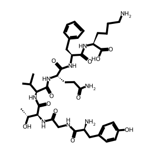 CC(C)[C@H](NC(=O)[C@@H](NC(=O)CNC(=O)[C@@H](N)Cc1ccc(O)cc1)[C@@H](C)O)C(=O)N[C@@H](CCC(N)=O)C(=O)N[C@@H](Cc1ccccc1)C(=O)N[C@@H](CCCCN)C(=O)O